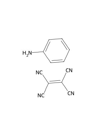 N#CC(C#N)=C(C#N)C#N.Nc1ccccc1